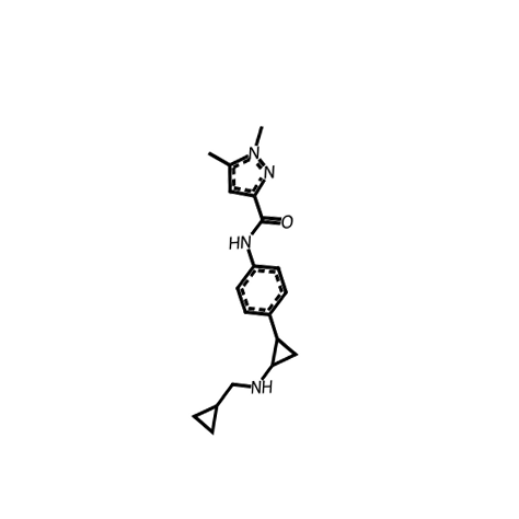 Cc1cc(C(=O)Nc2ccc(C3CC3NCC3CC3)cc2)nn1C